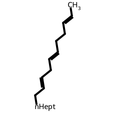 [CH2]CCCCCCCC=CCC=CCCC=CC